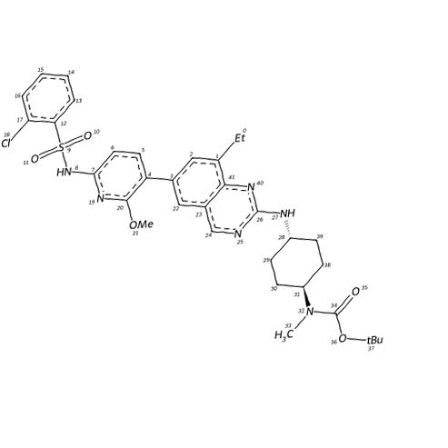 CCc1cc(-c2ccc(NS(=O)(=O)c3ccccc3Cl)nc2OC)cc2cnc(N[C@H]3CC[C@H](N(C)C(=O)OC(C)(C)C)CC3)nc12